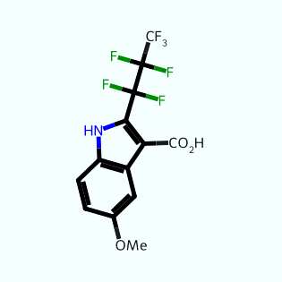 COc1ccc2[nH]c(C(F)(F)C(F)(F)C(F)(F)F)c(C(=O)O)c2c1